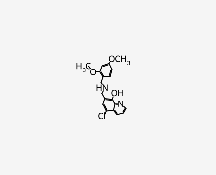 COc1ccc(CNCc2cc(Cl)c3cccnc3c2O)c(OC)c1